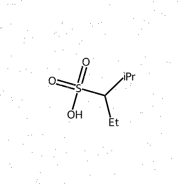 CCC(C(C)C)S(=O)(=O)O